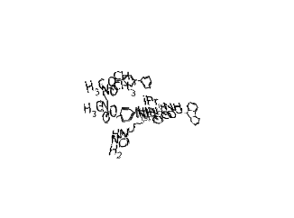 CC(C)[C@H](NC(=O)OCC1c2ccccc2-c2ccccc21)C(=O)NC(=O)[C@H](CCCNC(N)=O)Nc1ccc(COC(=O)N(C)CCN(C)C(=O)OC(C)(C)c2ccc(-c3ccccc3)cc2)cc1